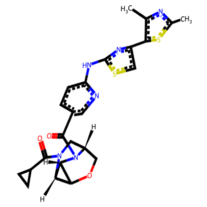 Cc1nc(C)c(-c2csc(Nc3ccc(C(=O)N4[C@H]5COC6[C@@H]4[C@H]6N(C(=O)C4CC4)C5)cn3)n2)s1